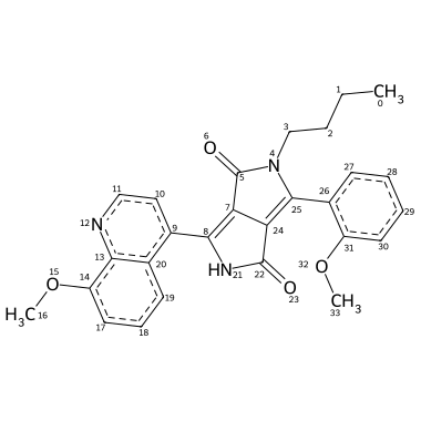 CCCCN1C(=O)C2=C(c3ccnc4c(OC)cccc34)NC(=O)C2=C1c1ccccc1OC